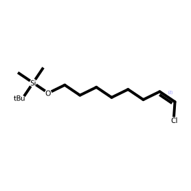 CC(C)(C)[Si](C)(C)OCCCCCC/C=C\Cl